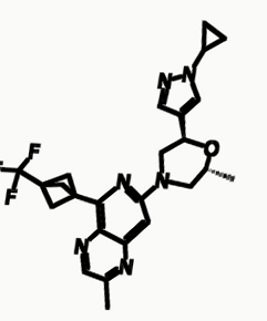 Cc1cnc2c(C34CC(C(F)(F)F)(C3)C4)nc(N3C[C@@H](C)O[C@H](c4cnn(C5CC5)c4)C3)cc2n1